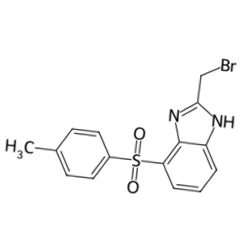 Cc1ccc(S(=O)(=O)c2cccc3[nH]c(CBr)nc23)cc1